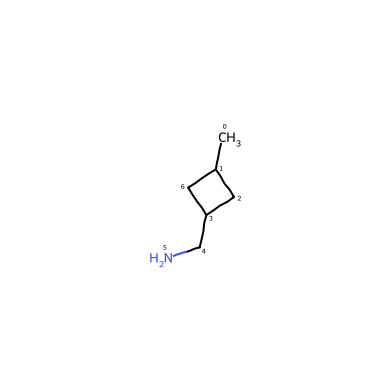 CC1CC(CN)C1